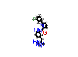 O=C(Nc1cccc(Cc2nnn[nH]2)c1)c1cccc(-c2cccc(F)c2)n1